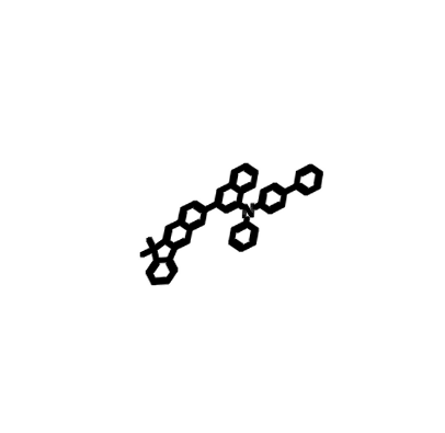 CC1(C)c2ccccc2-c2cc3cc(-c4cc(N(c5ccccc5)c5ccc(-c6ccccc6)cc5)c5ccccc5c4)ccc3cc21